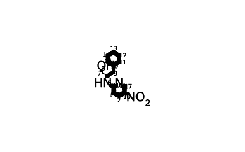 O=[N+]([O-])c1ccc(N[C@H](CO)Cc2ccccc2)nc1